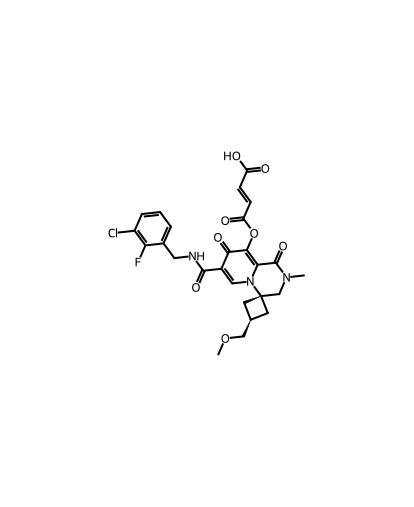 COC[C@H]1C[C@@]2(CN(C)C(=O)c3c(OC(=O)/C=C/C(=O)O)c(=O)c(C(=O)NCc4cccc(Cl)c4F)cn32)C1